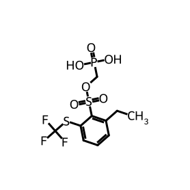 CCc1cccc(SC(F)(F)F)c1S(=O)(=O)OCP(=O)(O)O